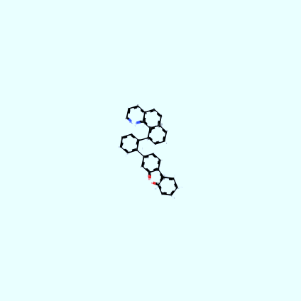 c1ccc(-c2cccc3ccc4cccnc4c23)c(-c2ccc3c(c2)oc2ccccc23)c1